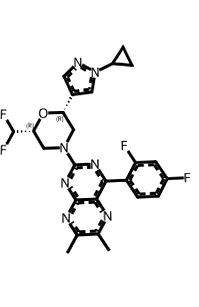 Cc1nc2nc(N3C[C@@H](c4cnn(C5CC5)c4)O[C@@H](C(F)F)C3)nc(-c3ccc(F)cc3F)c2nc1C